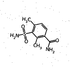 Cc1ccc(C(N)=O)c(C)c1S(N)(=O)=O